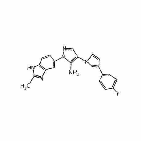 Cc1nc2cc(-n3ncc(-n4[c]cc(-c5ccc(F)cc5)c4)c3N)ccc2[nH]1